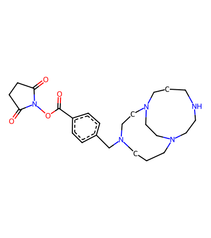 O=C(ON1C(=O)CCC1=O)c1ccc(CN2CCCN3CCNCCCN(CC3)CC2)cc1